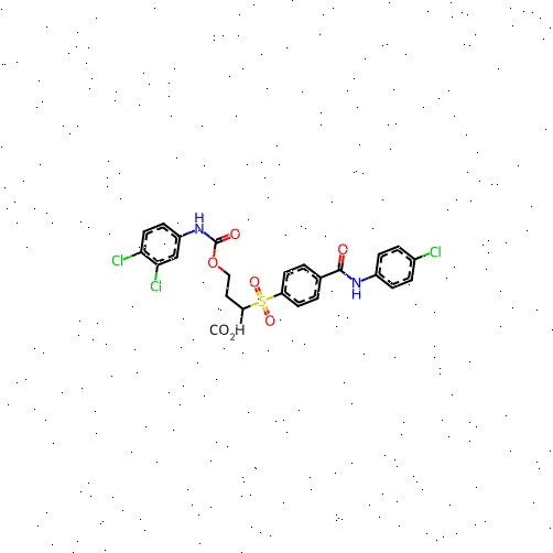 O=C(Nc1ccc(Cl)c(Cl)c1)OCCC(C(=O)O)S(=O)(=O)c1ccc(C(=O)Nc2ccc(Cl)cc2)cc1